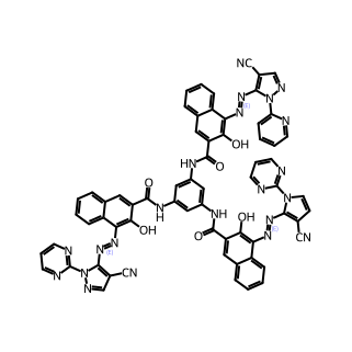 N#Cc1ccn(-c2ncccn2)c1/N=N/c1c(O)c(C(=O)Nc2cc(NC(=O)c3cc4ccccc4c(/N=N/c4c(C#N)cnn4-c4ccccn4)c3O)cc(NC(=O)c3cc4ccccc4c(/N=N/c4c(C#N)cnn4-c4ncccn4)c3O)c2)cc2ccccc12